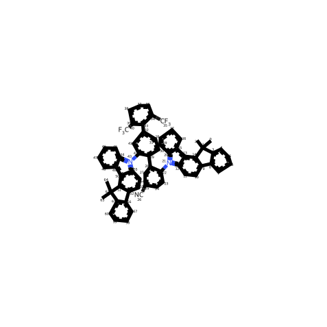 CC1(C)c2ccccc2-c2ccc3c(c21)c1ccccc1n3-c1ccc(C#N)cc1-c1ccc(-c2c(C(F)(F)F)cccc2C(F)(F)F)cc1-n1c2ccccc2c2c3c(ccc21)-c1ccccc1C3(C)C